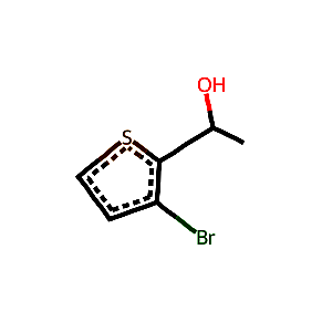 CC(O)c1sccc1Br